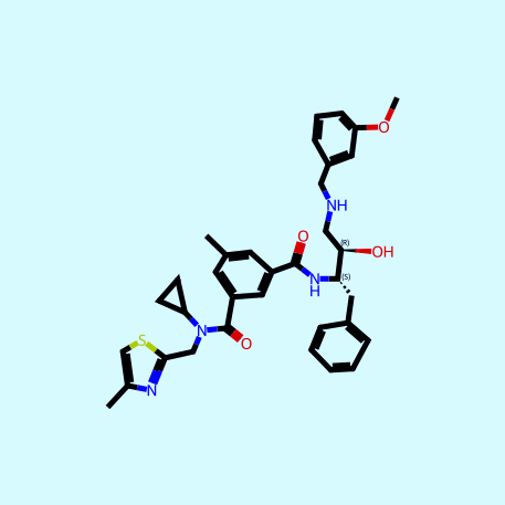 COc1cccc(CNC[C@@H](O)[C@H](Cc2ccccc2)NC(=O)c2cc(C)cc(C(=O)N(Cc3nc(C)cs3)C3CC3)c2)c1